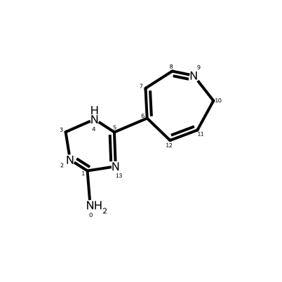 NC1=NCNC(C2=CC=NCC=C2)=N1